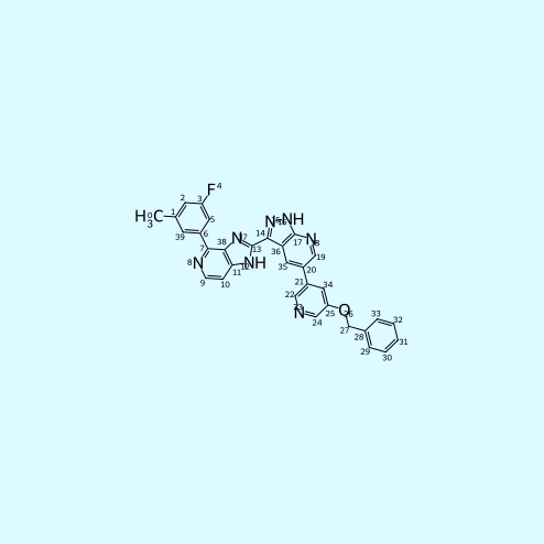 Cc1cc(F)cc(-c2nccc3[nH]c(-c4n[nH]c5ncc(-c6cncc(OCc7ccccc7)c6)cc45)nc23)c1